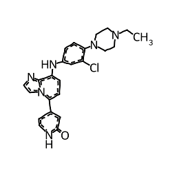 CCN1CCN(c2ccc(Nc3ccc(-c4cc[nH]c(=O)c4)n4ccnc34)cc2Cl)CC1